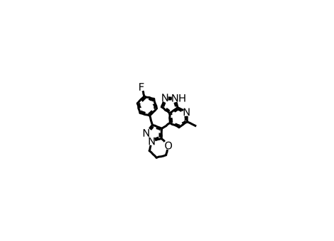 Cc1cc(-c2c(-c3ccc(F)cc3)nn3c2OCCC3)c2cn[nH]c2n1